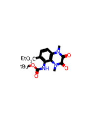 CCOC(=O)c1ccc2c(c1NC(=O)OC(C)(C)C)n(C)c(=O)c(=O)n2C